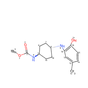 CC(C)(C)OC(=O)N[C@H]1CC[C@H](Nc2cc(C(F)(F)F)ccc2O)CC1